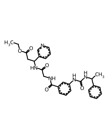 CCOC(=O)CC(NC(=O)CNC(=O)c1cccc(NC(=O)NC(C)c2ccccc2)c1)c1cccnc1